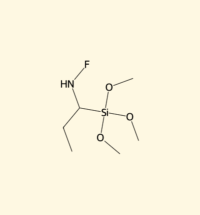 CCC(NF)[Si](OC)(OC)OC